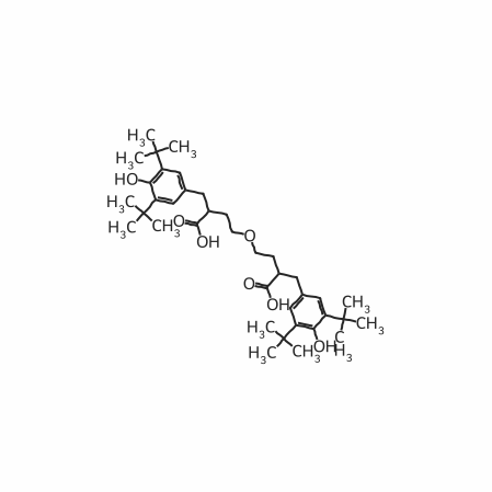 CC(C)(C)c1cc(CC(CCOCCC(Cc2cc(C(C)(C)C)c(O)c(C(C)(C)C)c2)C(=O)O)C(=O)O)cc(C(C)(C)C)c1O